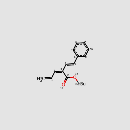 C=CC=C(C=Cc1ccccc1)C(=O)OCCCC